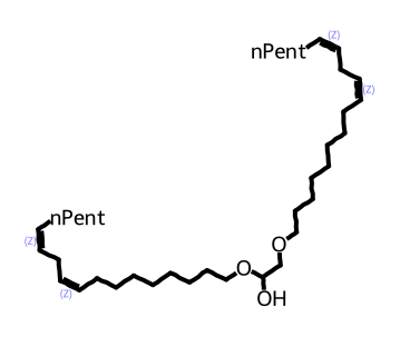 CCCCC/C=C\C/C=C\CCCCCCCCOCC(O)OCCCCCCCC/C=C\C/C=C\CCCCC